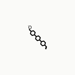 C=CC1CCC(C2CCC(C3CCC(COC)CC3)CC2)CC1